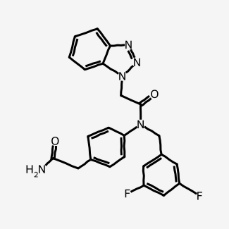 NC(=O)Cc1ccc(N(Cc2cc(F)cc(F)c2)C(=O)Cn2nnc3ccccc32)cc1